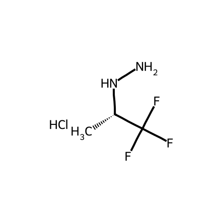 C[C@H](NN)C(F)(F)F.Cl